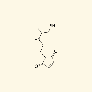 CC(CS)NCCN1C(=O)C=CC1=O